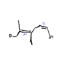 C/C(F)=C(C)\C=C/C(C)C